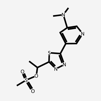 CC(OS(C)(=O)=O)c1nnc(-c2cncc(N(C)C)c2)s1